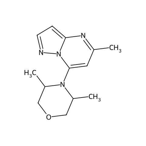 Cc1cc(N2C(C)COCC2C)n2nccc2n1